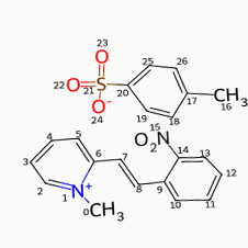 C[n+]1ccccc1C=Cc1ccccc1[N+](=O)[O-].Cc1ccc(S(=O)(=O)[O-])cc1